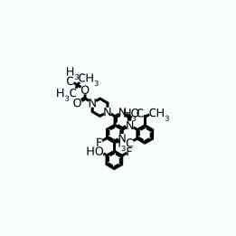 Cc1cccc(C(C)C)c1-n1c(=O)nc(N2CCN(C(=O)OC(C)(C)C)CC2)c2cc(F)c(-c3c(O)cccc3F)nc21